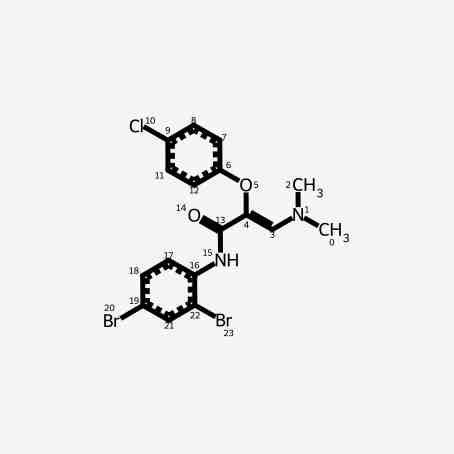 CN(C)/C=C(\Oc1ccc(Cl)cc1)C(=O)Nc1ccc(Br)cc1Br